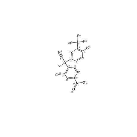 CC(C#N)(c1ccc(Cl)c(C(F)(F)F)c1)c1ccc([N+](=O)[O-])cc1Cl